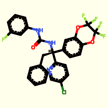 O=C(Nc1cccc(F)c1)N[C@](Cc1ccccc1)(c1ccc2c(c1)OC(F)(F)C(F)(F)O2)c1ccc(Cl)cn1